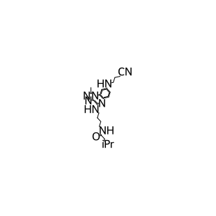 Cc1nnc2c(NCCCCNC(=O)CC(C)C)nc3ccc(NCCCC#N)cc3n12